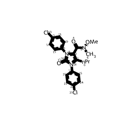 CCCc1c(C(=O)N(C)OC)n(-c2ccc(Cl)cc2)c(=O)n1-c1ccc(Cl)cc1